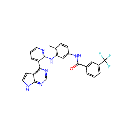 Cc1ccc(NC(=O)c2cccc(C(F)(F)F)c2)cc1Nc1ncccc1-c1ncnc2[nH]ccc12